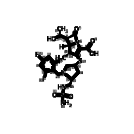 C[C@@H](O)[C@H]1C(=O)N2C(C(=O)O)=C(S[C@H]3C[C@@H](CNS(N)(=O)=O)N(Cc4c(F)cc(F)cc4F)C3)[C@H](C)[C@H]12